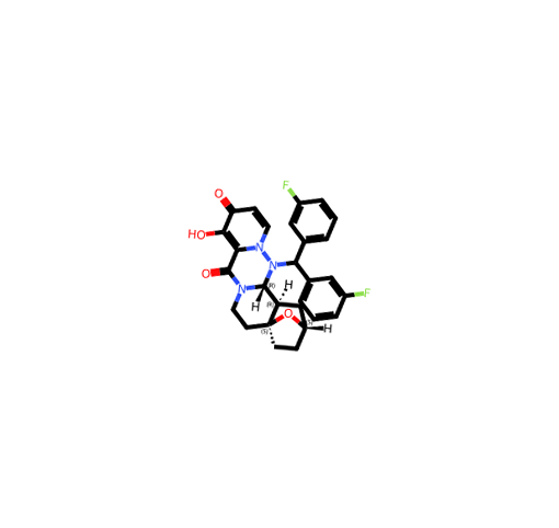 O=C1c2c(O)c(=O)ccn2N(C(c2cccc(F)c2)c2cccc(F)c2)[C@@H]2[C@H]3C[C@@H]4CC[C@@]3(CCN12)O4